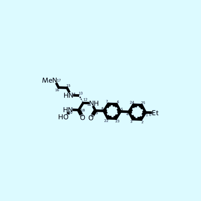 CCc1ccc(-c2ccc(C(=O)N[C@@H](CNCCNC)C(=O)NO)cc2)cc1